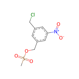 CS(=O)(=O)OCc1cc(CCl)cc([N+](=O)[O-])c1